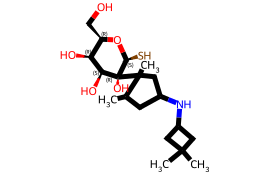 CC1CC(NC2CC(C)(C)C2)CC1(C)[C@]1(O)[C@H](S)O[C@H](CO)[C@H](O)[C@@H]1O